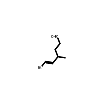 CCC=CC(C)CCC=O